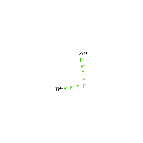 [F-].[F-].[F-].[F-].[F-].[F-].[F-].[F-].[Ti+4].[Zr+4]